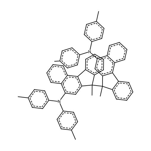 Cc1ccc(N(c2ccc(C)cc2)c2cc3c(c4ccccc24)-c2ccccc2C3(C)C2(C)c3ccccc3-c3c2cc(N(c2ccc(C)cc2)c2ccc(C)cc2)c2ccccc32)cc1